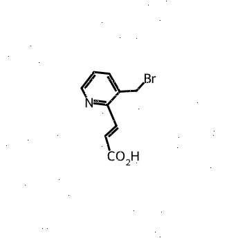 O=C(O)C=Cc1ncccc1CBr